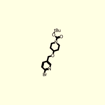 CC(C)(C)OC(=O)N1CCC(OCc2ccc(Br)nc2)CC1